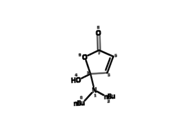 CCCCN(CCCC)C1(O)C=CC(=O)O1